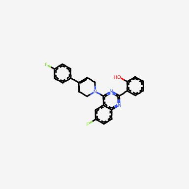 Oc1ccccc1-c1nc(N2CC=C(c3ccc(F)cc3)CC2)c2cc(F)ccc2n1